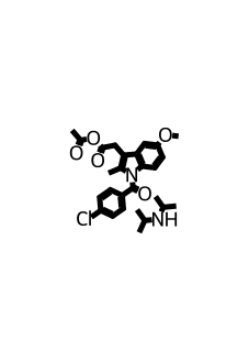 CC(C)NC(C)C.COc1ccc2c(c1)c(CC(=O)OC(C)=O)c(C)n2C(=O)c1ccc(Cl)cc1